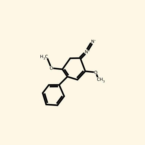 COC1=CC(c2ccccc2)=C(OC)CC1=[N+]=[N-]